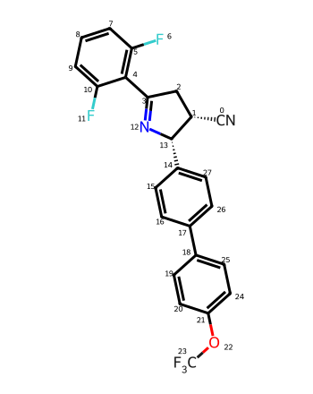 N#C[C@H]1CC(c2c(F)cccc2F)=N[C@H]1c1ccc(-c2ccc(OC(F)(F)F)cc2)cc1